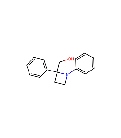 OCC1(c2ccccc2)CCN1c1ccccc1